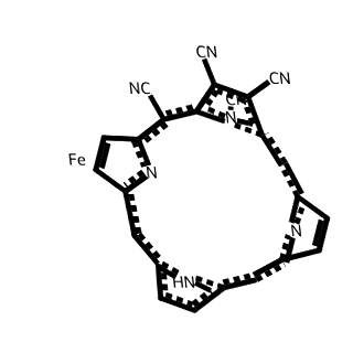 N#Cc1c(C#N)c2c(C#N)c3nc(cc4ccc(cc5nc(cc1n2C#N)C=C5)[nH]4)C=C3.[Fe]